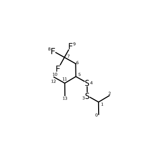 CC(C)SSC(CC(F)(F)F)C(C)C